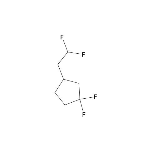 FC(F)CC1CCC(F)(F)C1